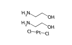 NCCO.NCCO.[Cl][Pt][Cl]